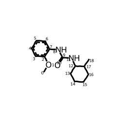 COc1ccccc1NC(=O)NC1CCCCC1C